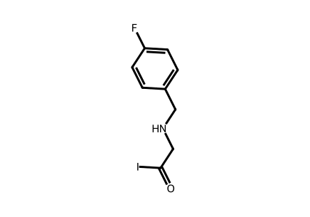 O=C(I)CNCc1ccc(F)cc1